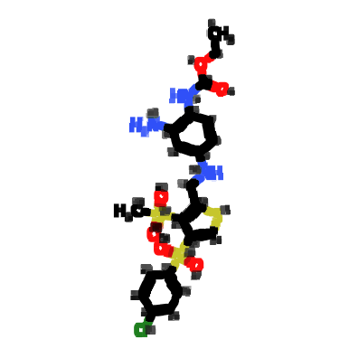 CCOC(=O)Nc1ccc(NCc2scc(S(=O)(=O)c3ccc(Cl)cc3)c2S(C)(=O)=O)cc1N